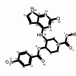 CC(C)(C)OC(=O)N1CCC(OC(=O)c2ccc([N+](=O)[O-])cc2)C(Nc2nc(Cl)nc3[nH]ccc23)C1